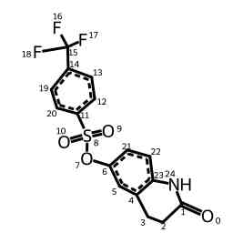 O=C1CCc2cc(OS(=O)(=O)c3ccc(C(F)(F)F)cc3)ccc2N1